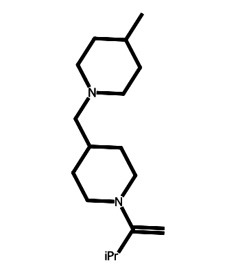 C=C(C(C)C)N1CCC(CN2CCC(C)CC2)CC1